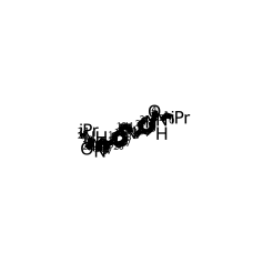 CC(C)CNC(=O)N1CCC(Cn2ccc3cc(-c4cnn(C(=O)NCC(C)C)c4)ccc32)CC1